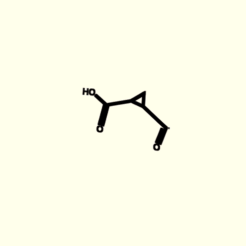 O=[C]C1CC1C(=O)O